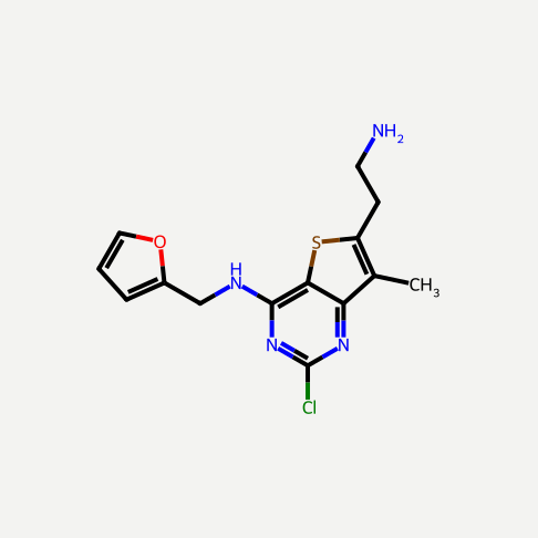 Cc1c(CCN)sc2c(NCc3ccco3)nc(Cl)nc12